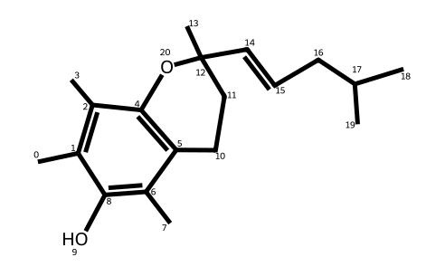 Cc1c(C)c2c(c(C)c1O)CCC(C)(C=CCC(C)C)O2